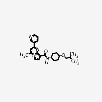 Cc1cc(-c2cccnc2)nc2c(C(=O)N[C@H]3CC[C@H](OCC(C)C)CC3)ccn12